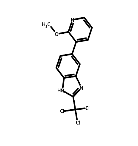 COc1ncccc1-c1ccc2[nH]c(C(Cl)(Cl)Cl)nc2c1